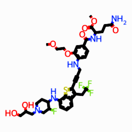 COCCOc1cc(C(=O)NC(CCC(N)=O)C(=O)OC)ccc1NCC#Cc1sc2c(NC3CCN(CC(O)CO)CC3F)cccc2c1CC(F)(F)F